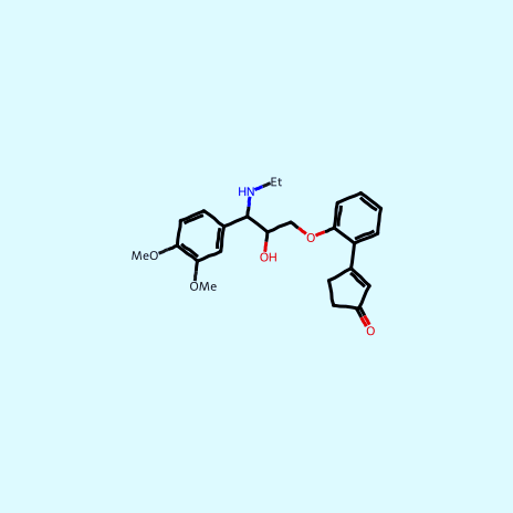 CCNC(c1ccc(OC)c(OC)c1)C(O)COc1ccccc1C1=CC(=O)CC1